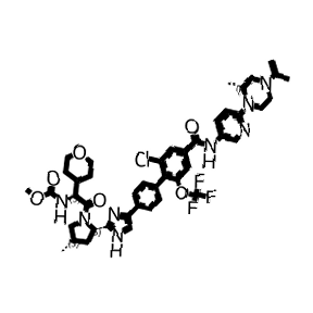 C=C(C)N1CCN(c2ccc(NC(=O)c3cc(Cl)c(-c4ccc(-c5c[nH]c([C@@H]6C[C@H](C)CN6C(=O)[C@@H](NC(=O)OC)C6CCOCC6)n5)cc4)c(OC(F)(F)F)c3)cn2)[C@H](C)C1